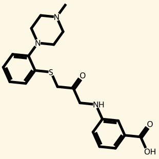 CN1CCN(c2ccccc2SCC(=O)CNc2cccc(C(=O)O)c2)CC1